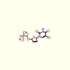 CCc1cn(C2C=CC(OCP(C)(C)=O)O2)c(=O)[nH]c1=O